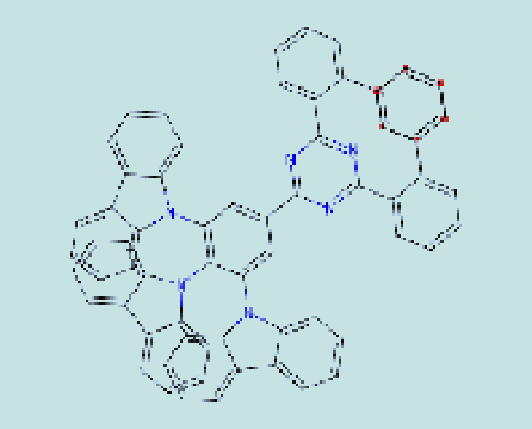 c1ccc(-c2ccccc2-c2nc(-c3cc(-n4c5ccccc5c5ccccc54)c(-n4c5ccccc5c5ccccc54)c(-n4c5ccccc5c5ccccc54)c3)nc(-c3ccccc3-c3ccccc3)n2)cc1